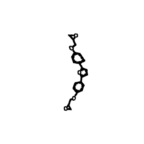 c1cc(-c2ccc(-c3ccc(OCC4CO4)cc3)o2)ccc1OCC1CO1